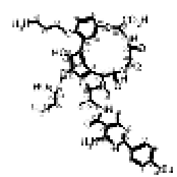 Cc1nc(-c2ccc(C(C)(C)C)cc2)nc(N)c1C(=O)N[C@@H](C)C(=O)N(C)[C@@H]1C(=O)N[C@@H](C)C(=O)N[C@H](C(=O)O)Cc2ccc(OCCCN)c(c2)-c2cc1cc(OC[C@@H](O)CN)c2O